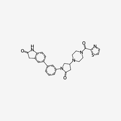 O=C1Cc2cc(-c3cccc(N4CC(N5CCN(C(=O)c6nccs6)CC5)CC4=O)c3)ccc2N1